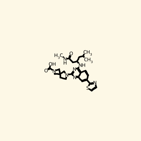 CNC(=O)CC(CC(C)C)Nc1nc(N2CCC3(CN(C(=O)O)C3)C2)nc2cc(-c3nccs3)ccc12